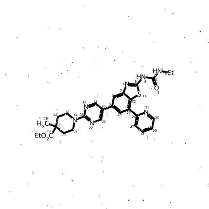 CCNC(=O)Nc1nc2cc(-c3cnc(N4CCC(C)(C(=O)OCC)CC4)nc3)cc(-c3ccccn3)c2s1